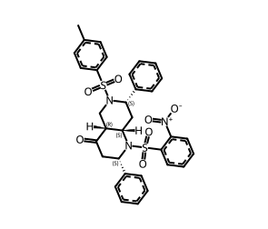 Cc1ccc(S(=O)(=O)N2C[C@H]3C(=O)C[C@@H](c4ccccc4)N(S(=O)(=O)c4ccccc4[N+](=O)[O-])[C@H]3C[C@H]2c2ccccc2)cc1